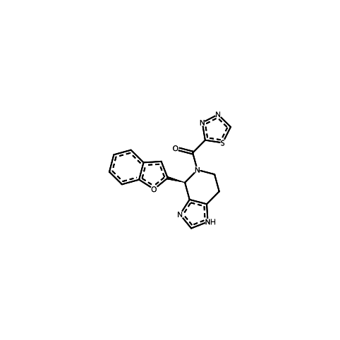 O=C(c1nncs1)N1CCc2[nH]cnc2[C@H]1c1cc2ccccc2o1